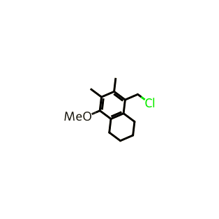 COc1c(C)c(C)c(CCl)c2c1CCCC2